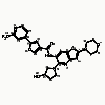 O=C(Nc1cc2oc(N3CCOCC3)nc2nc1N1CCC(O)C1)c1coc(-c2ccnc(C(F)(F)F)c2)n1